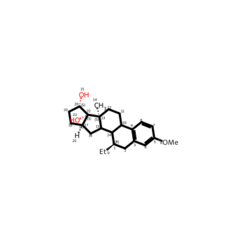 CC[C@@H]1Cc2cc(OC)ccc2C2CC[C@@]3(C)C(C[C@H]4CC[C@H](O)[C@]43O)C21